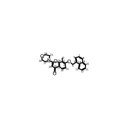 Cc1c(OCc2cccc3ccccc23)ccc2c(=O)cc(N3CCOCC3)oc12